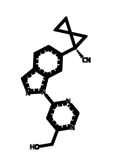 N#C[C@@]1(c2ccc3cnn(-c4cc(CO)ncn4)c3c2)CC12CC2